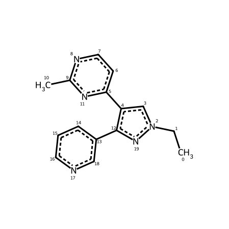 CCn1cc(-c2ccnc(C)n2)c(-c2cccnc2)n1